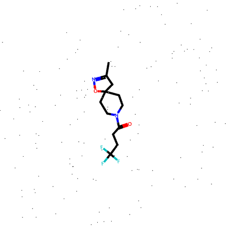 CC1=NOC2(CCN(C(=O)CCC(F)(F)F)CC2)C1